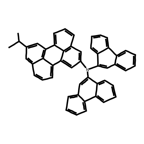 CC(C)c1cc2cccc3c4cc(N(c5cc6ccccc6c6ccccc56)c5cc6ccccc6c6ccccc56)cc5cccc(c(c1)c23)c54